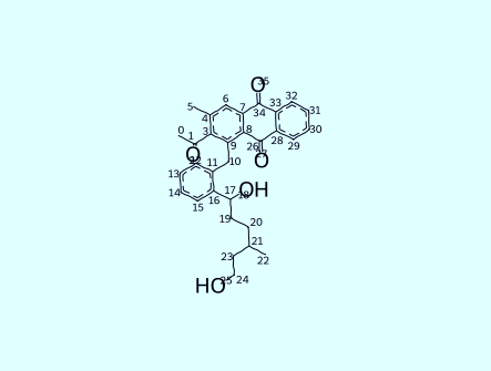 CC(=O)c1c(C)cc2c(c1Cc1ccccc1C(O)CCC(C)CCO)C(=O)c1ccccc1C2=O